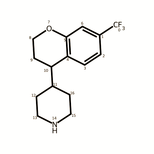 FC(F)(F)c1ccc2c(c1)OCCC2C1CCNCC1